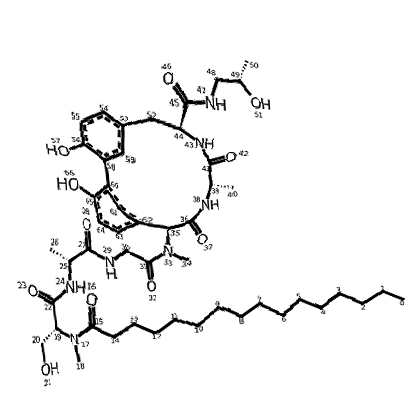 CCCCCCCCCCCCCCCC(=O)N(C)[C@H](CO)C(=O)N[C@H](C)C(=O)NCC(=O)N(C)[C@@H]1C(=O)N[C@@H](C)C(=O)N[C@H](C(=O)NC[C@H](C)O)Cc2ccc(O)c(c2)-c2cc1ccc2O